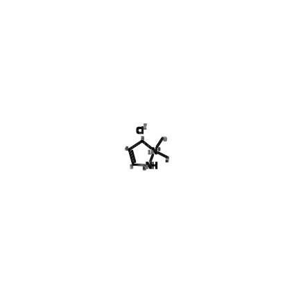 C[N+]1(C)CC=CN1.[Cl-]